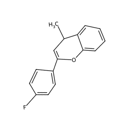 CC1C=C(c2ccc(F)cc2)Oc2ccccc21